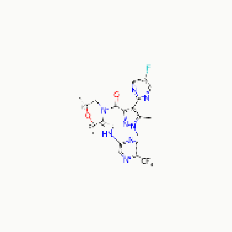 Cc1c(-c2ncc(F)cn2)c(C(=O)N2C[C@@H](C)O[C@@H](C)[C@H]2CNc2cnc(C(F)(F)F)cn2)nn1C